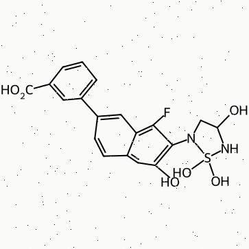 O=C(O)c1cccc(-c2ccc3cc(O)c(N4CC(O)NS4(O)O)c(F)c3c2)c1